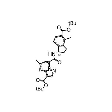 Cc1cc(C(=O)N[C@H]2CCc3c2ccc(C(=O)OC(C)(C)C)c3C)n2ncc(C(=O)OC(C)(C)C)c2n1